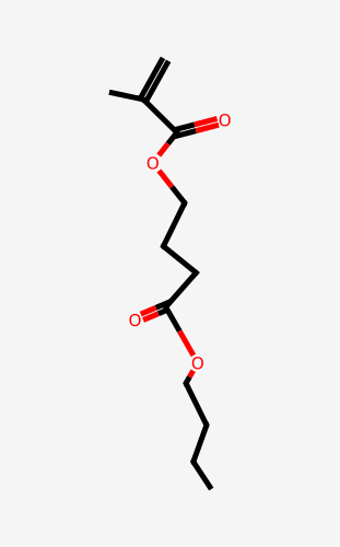 C=C(C)C(=O)OCCCC(=O)OCCCC